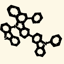 c1ccc(-c2cc3ccccc3c3c2c2cc(-c4ccc5c(c4)c4ccccc4n5-c4ccccc4)ccc2n3-c2cccc3sc4ccccc4c23)cc1